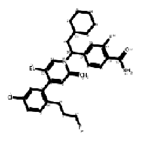 C=C1C=C(c2cc(Cl)ccc2CCCF)C(CC)=CN1C(CC1CCCCC1)c1ccc(C(N)=O)c(F)c1